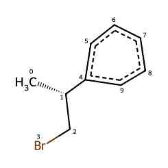 C[C@@H](CBr)c1ccccc1